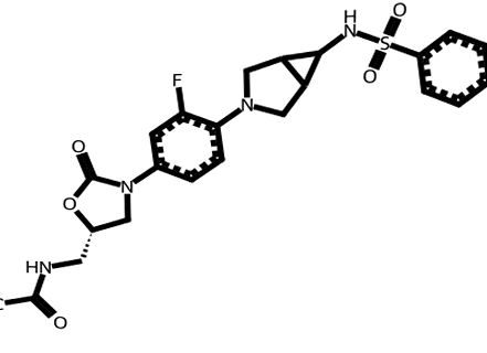 CC(=O)NC[C@H]1CN(c2ccc(N3CC4C(C3)C4NS(=O)(=O)c3ccccc3)c(F)c2)C(=O)O1